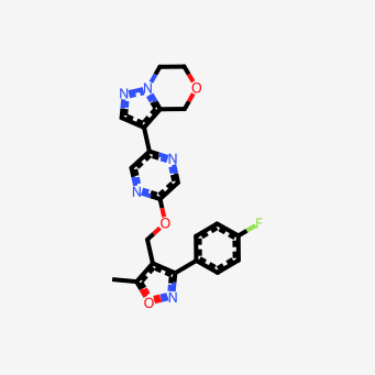 Cc1onc(-c2ccc(F)cc2)c1COc1cnc(-c2cnn3c2COCC3)cn1